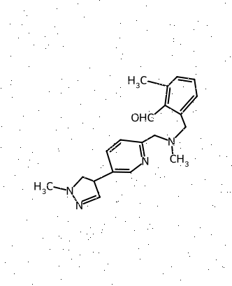 Cc1cccc(CN(C)Cc2ccc(C3C=NN(C)C3)cn2)c1C=O